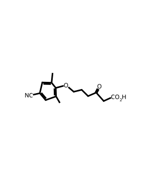 Cc1cc(C#N)cc(C)c1OCCCC(=O)CC(=O)O